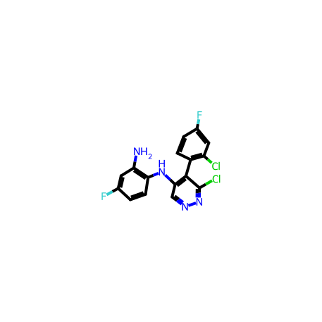 Nc1cc(F)ccc1Nc1cnnc(Cl)c1-c1ccc(F)cc1Cl